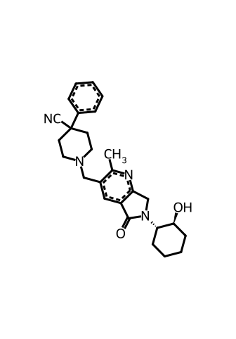 Cc1nc2c(cc1CN1CCC(C#N)(c3ccccc3)CC1)C(=O)N([C@H]1CCCC[C@@H]1O)C2